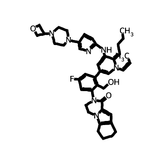 C/C=C\N1C=C(c2cc(F)cc(N3CCn4c(cc5c4CCCC5)C3=O)c2CO)C=C(Nc2ccc(N3CCN(C4COC4)CC3)cn2)/C1=C\CCC